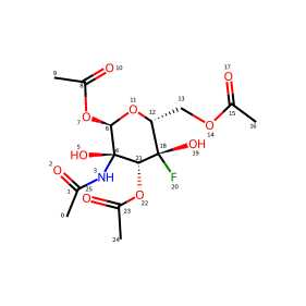 CC(=O)N[C@]1(O)[C@@H](OC(C)=O)O[C@H](COC(C)=O)[C@](O)(F)[C@@H]1OC(C)=O